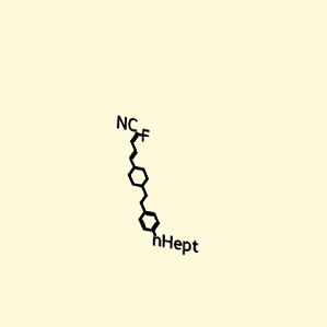 CCCCCCCc1ccc(CCC2CCC(C=CC=C(F)C#N)CC2)cc1